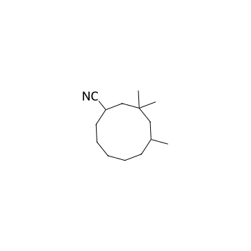 CC1CCCCCC(C#N)CC(C)(C)C1